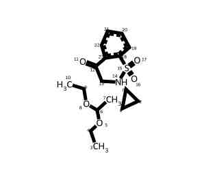 C1CC1.CCOC(C)OCC.O=C1CNS(=O)(=O)c2ccccc21